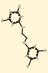 Clc1nc(Cl)nc(OCCOc2nc(Cl)nc(Cl)n2)n1